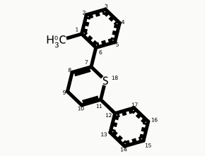 Cc1ccccc1C1=CCC=C(c2ccccc2)S1